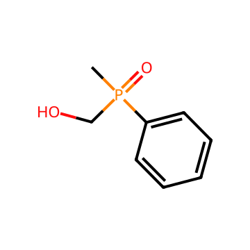 CP(=O)(CO)c1ccccc1